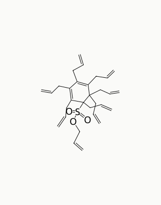 C=CCOS(=O)(=O)C1(CC=C)C(CC=C)=C(CC=C)C(CC=C)=C(CC=C)C1(CC=C)CC=C